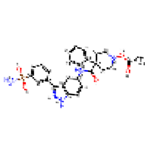 NS(=O)(=O)c1cccc(-c2n[nH]c3ccc(NC(=O)C4(c5ccccc5)CCN(OC(=O)C(F)(F)F)CC4)cc23)c1